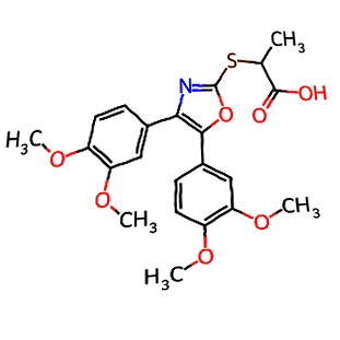 COc1ccc(-c2nc(SC(C)C(=O)O)oc2-c2ccc(OC)c(OC)c2)cc1OC